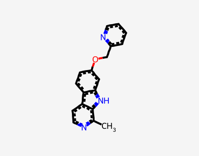 Cc1nccc2c1[nH]c1cc(OCc3ccccn3)ccc12